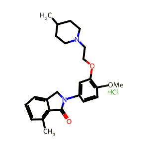 COc1ccc(N2Cc3cccc(C)c3C2=O)cc1OCCN1CCC(C)CC1.Cl